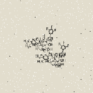 Cc1nc(C)c(C(S[C@@H]2O[C@H](CO)[C@H](O)[C@H](n3cc(-c4cc(F)c(F)c(F)c4)nn3)[C@H]2O)C2(O)CCN(C)CC2)nc1C.Cc1nc(C)c([C@@H](S[C@@H]2O[C@H](CO)[C@H](O)[C@H](n3cc(-c4cc(F)c(F)c(F)c4)nn3)[C@H]2O)C2(O)CCN(C)CC2)nc1C